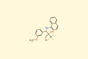 COc1cccc(C(Nc2cccc3ccccc23)C(O)(CBr)C(F)(F)F)c1